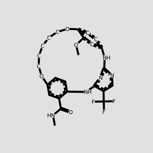 CNC(=O)c1cc2ccc1Nc1nc(ncc1C(F)(F)F)Nc1ccc(c(OC)c1)OCCCCCO2